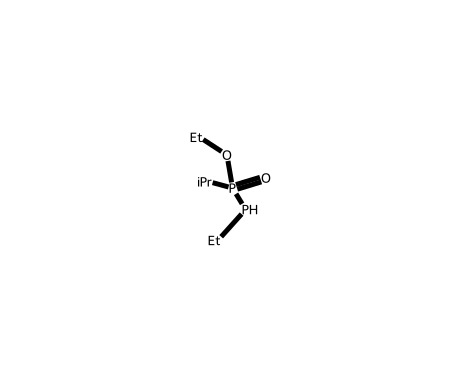 CCOP(=O)(PCC)C(C)C